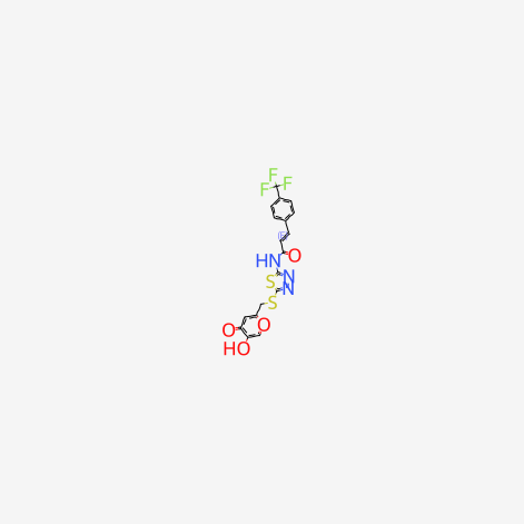 O=C(/C=C/c1ccc(C(F)(F)F)cc1)Nc1nnc(SCc2cc(=O)c(O)co2)s1